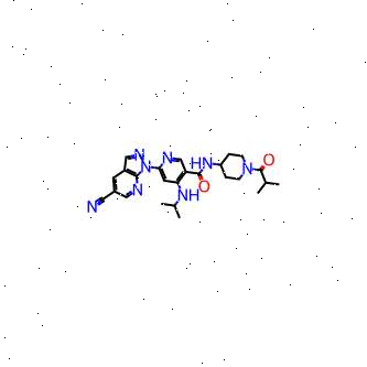 CC(C)Nc1cc(-n2ncc3cc(C#N)cnc32)ncc1C(=O)NC1CCN(C(=O)C(C)C)CC1